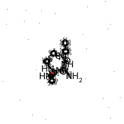 CN1Cc2ccccc2Sc2ccccc2CNC(=O)C(Cc2c[nH]c3ccccc23)NC(=O)C(CCCN)NC(=O)C1Cc1ccc(-c2ccccc2)cc1